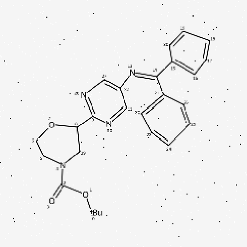 CC(C)(C)OC(=O)N1CCOC(c2ncc(N=C(c3ccccc3)c3ccccc3)cn2)C1